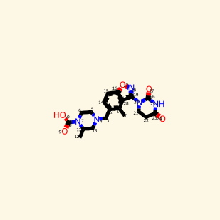 Cc1c(CN2CCN(C(=O)O)C(C)C2)ccc2onc(N3CCC(=O)NC3=O)c12